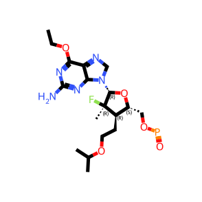 CCOC1=NC(N)=NC2C1=NCN2[C@@H]1O[C@H](COP=O)[C@@H](CCOC(C)C)[C@@]1(C)F